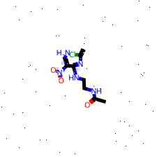 C=C(Cl)/N=C(NCCNC(C)=O)\C(=C/N)[N+](=O)[O-]